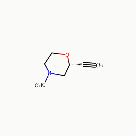 C#C[C@@H]1CN(C=O)CCO1